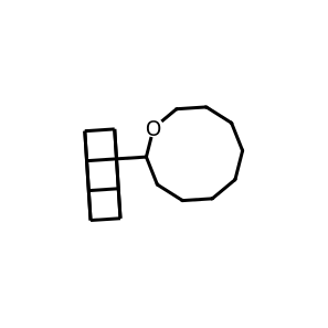 C1CCCCC(C23C4C5C6C4C2C6C53)OCCC1